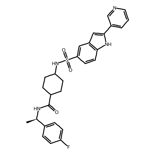 C[C@@H](NC(=O)C1CCC(NS(=O)(=O)c2ccc3[nH]c(-c4cccnc4)cc3c2)CC1)c1ccc(F)cc1